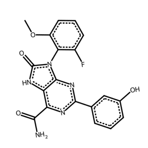 COc1cccc(F)c1-n1c(=O)[nH]c2c(C(N)=O)nc(-c3cccc(O)c3)nc21